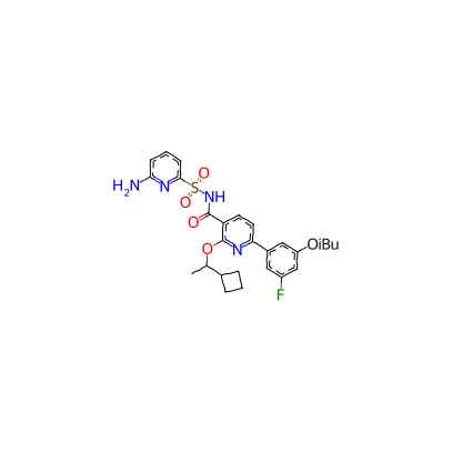 CC(C)COc1cc(F)cc(-c2ccc(C(=O)NS(=O)(=O)c3cccc(N)n3)c(OC(C)C3CCC3)n2)c1